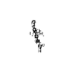 CC(C)C(C)(c1ccc(OCc2ccccn2)cc1)c1ccc(-c2cc(CN3CCNCC3=O)no2)cc1